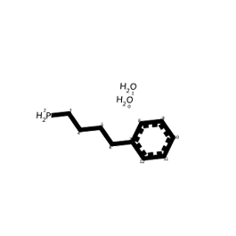 O.O.PCCCCc1ccccc1